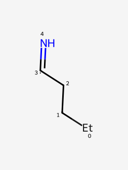 [CH2]CCC[C]=N